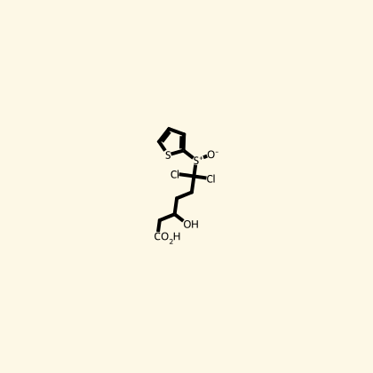 O=C(O)CC(O)CCC(Cl)(Cl)[S+]([O-])c1cccs1